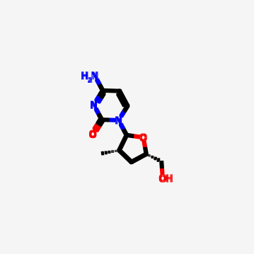 C[C@H]1C[C@@H](CO)OC1n1ccc(N)nc1=O